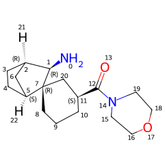 N[C@@H]1[C@@H]2CC[C@@H](C2)[C@]12CCC[C@H](C(=O)N1CCOCC1)C2